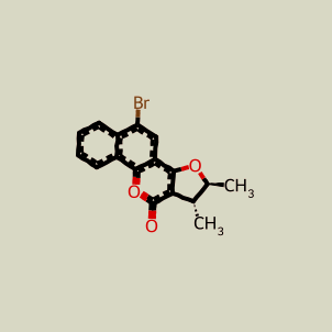 C[C@@H]1Oc2c(c(=O)oc3c2cc(Br)c2ccccc23)[C@H]1C